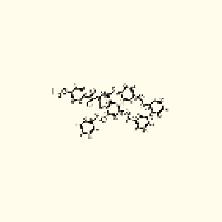 Cc1ccc(S(=O)(=O)NN=C(Cc2ccc(OCc3ccccc3)cc2)c2cc(OCc3ccccc3)cc(OCc3ccccc3)c2)cc1